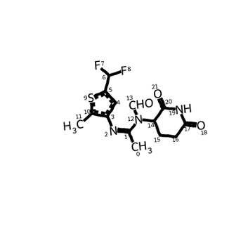 C/C(=N/c1cc(C(F)F)sc1C)N(C=O)C1CCC(=O)NC1=O